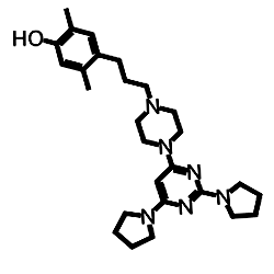 Cc1cc(CCCN2CCN(c3cc(N4CCCC4)nc(N4CCCC4)n3)CC2)c(C)cc1O